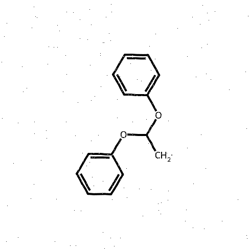 [CH2]C(Oc1ccccc1)Oc1ccccc1